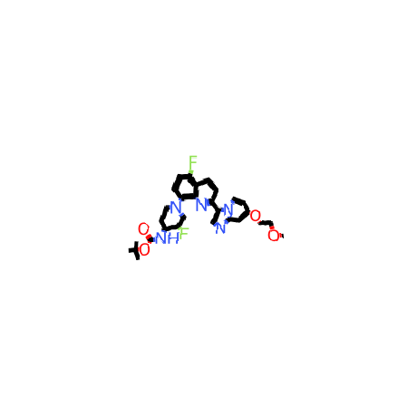 COCCOc1ccn2c(-c3ccc4c(F)ccc(N5CCC(NC(=O)OC(C)(C)C)C(F)C5)c4n3)cnc2c1